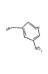 CC(C)(C)c1[c]ncc([N+](=O)[O-])c1